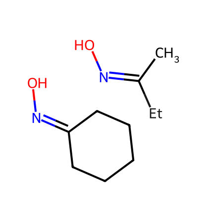 CCC(C)=NO.ON=C1CCCCC1